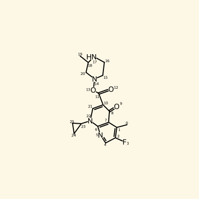 Cc1c(F)cnc2c1c(=O)c(C(=O)ON1CCNC(C)C1)cn2C1CC1